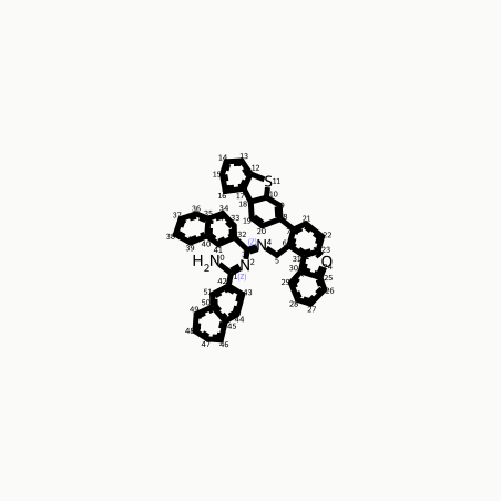 N/C(=N\C(=N/Cc1c(C2=CC3Sc4ccccc4C3C=C2)ccc2oc3ccccc3c12)c1ccc2ccccc2c1)c1ccc2ccccc2c1